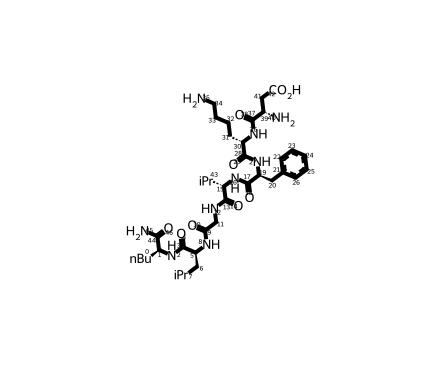 CCCC[C@H](NC(=O)[C@H](CC(C)C)NC(=O)CNC(=O)[C@@H](NC(=O)[C@H](Cc1ccccc1)NC(=O)[C@H](CCCCN)NC(=O)[C@@H](N)CC(=O)O)C(C)C)C(N)=O